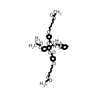 C=CC(=O)OCCCCCCOc1ccc(C(=O)Oc2cc(/C=N/Nc3nc4ccccc4s3)c(OC(=O)c3ccc(OCCCCCCOC(=O)C=C)cc3)c3cc(OC(=O)C(=C)C)ccc23)cc1